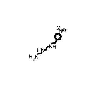 NCCNCCNCCc1ccc([N+](=O)[O-])cc1